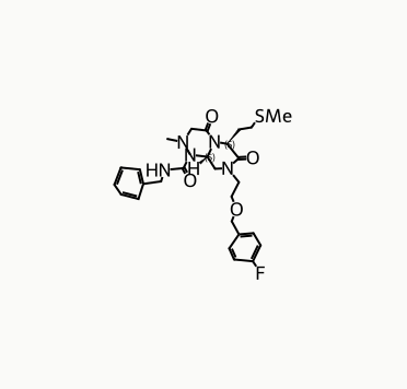 CSCC[C@H]1C(=O)N(CCOCc2ccc(F)cc2)C[C@H]2N1C(=O)CN(C)N2C(=O)NCc1ccccc1